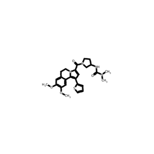 COc1cc2c(cc1OC)-c1c(-c3cccs3)cc(C(=O)N3CCC(NC(=O)N(C)C)C3)n1CC2